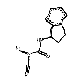 N#CN(S)C(=O)NC1CCc2ccccc21